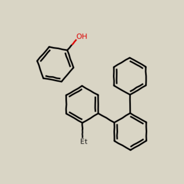 CCc1ccccc1-c1ccccc1-c1ccccc1.Oc1ccccc1